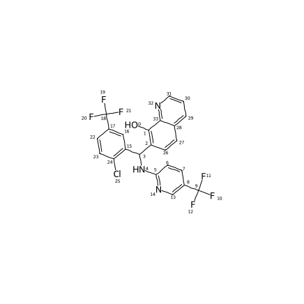 Oc1c(C(Nc2ccc(C(F)(F)F)cn2)c2cc(C(F)(F)F)ccc2Cl)ccc2cccnc12